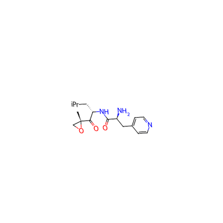 CC(C)C[C@H](NC(=O)[C@@H](N)Cc1ccncc1)C(=O)[C@@]1(C)CO1